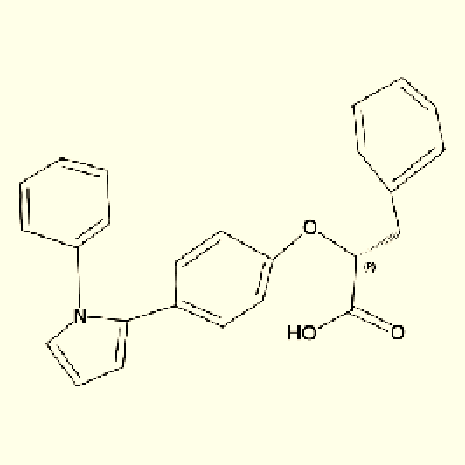 O=C(O)[C@@H](Cc1ccccc1)Oc1ccc(-c2cccn2-c2ccccc2)cc1